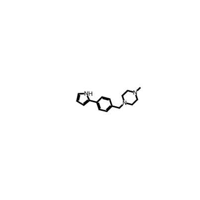 CN1CCN(Cc2ccc(-c3ccc[nH]3)cc2)CC1